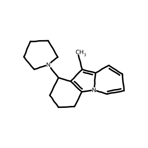 Cc1c2c(n3ccccc13)CCCC2N1CCCCC1